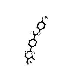 CCCC1CCC(OC(=O)C2CCC(C3OCC(CCC)C(C)O3)CC2)CC1